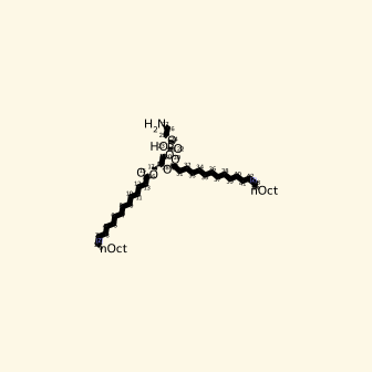 CCCCCCCC/C=C\CCCCCCCCCCCC(=O)OC[C@H](COP(=O)(O)OCCN)OC(=O)CCCCCCCCCCC/C=C\CCCCCCCC